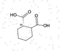 O=C(O)C1CCCC[C@@H]1C(=O)O